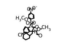 CCON(C=O)C1(CC2CCCCC2)C(=O)N(S(=O)(=O)c2ccc([N+](=O)[O-])cc2OC)c2ccc(Cl)cc21